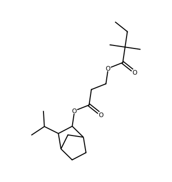 CCC(C)(C)C(=O)OCCC(=O)OC1C2CCC(C2)C1C(C)C